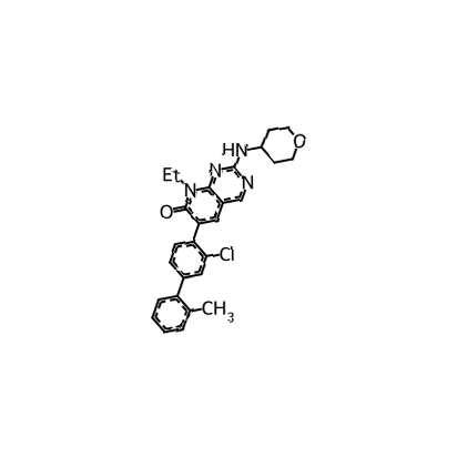 CCn1c(=O)c(-c2ccc(-c3ccccc3C)cc2Cl)cc2cnc(NC3CCOCC3)nc21